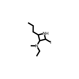 CCCC1NC(I)C1N(C)CC